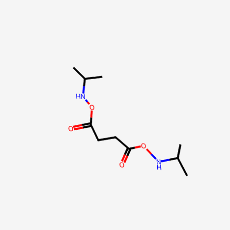 CC(C)NOC(=O)CCC(=O)ONC(C)C